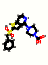 O=C(O)N1CCN(c2nccc3sc(S(=O)(=O)Cc4ccccc4)cc23)CC1